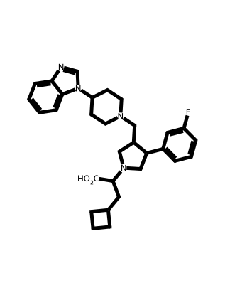 O=C(O)C(CC1CCC1)N1CC(CN2CCC(n3cnc4ccccc43)CC2)C(c2cccc(F)c2)C1